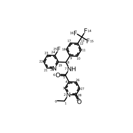 CCn1cc(C(=O)NC(c2ccc(C(F)(F)F)cc2)c2ncccc2F)ccc1=O